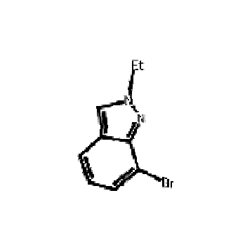 CCn1cc2cccc(Br)c2n1